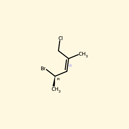 C/C(=C/[C@@H](C)Br)CCl